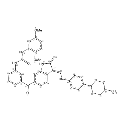 COc1ccc(OC)c(NC(=O)Nc2cccc(C(=O)c3ccc4c(c3)NC(=O)C4=CNc3ccc(N4CCN(C)CC4)cc3)c2)c1